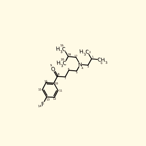 CC(C)CN(CCCC(=O)c1ccc(F)cc1)CC(C)C